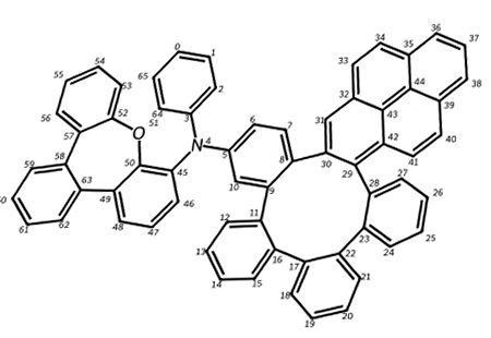 c1ccc(N(c2ccc3c(c2)c2ccccc2c2ccccc2c2ccccc2c2c3cc3ccc4cccc5ccc2c3c45)c2cccc3c2Oc2ccccc2-c2ccccc2-3)cc1